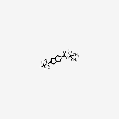 CC(C)(C)OC(=O)N1CC2C=C(S(=O)(=O)C(F)(F)F)CC2C1